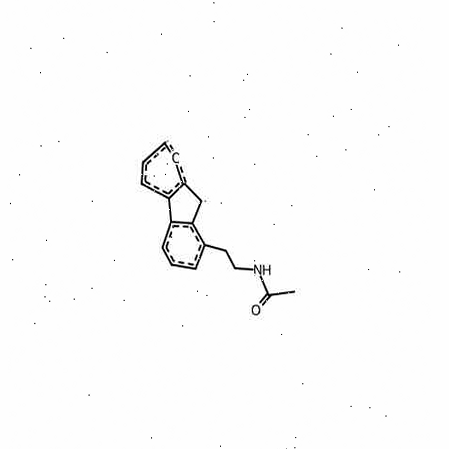 CC(=O)NCCc1cccc2c1[CH]c1ccccc1-2